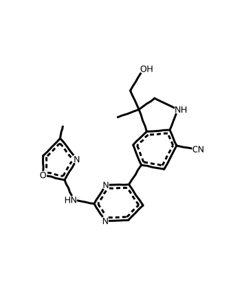 Cc1coc(Nc2nccc(-c3cc(C#N)c4c(c3)C(C)(CO)CN4)n2)n1